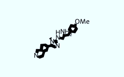 COc1ccc(C[C@H](N)CNc2ncc(-c3ccc4cnccc4c3)n2C)cc1